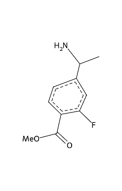 COC(=O)c1ccc(C(C)N)cc1F